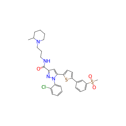 CC1CCCCN1CCCNC(=O)c1cc(-c2ccc(-c3cccc(S(C)(=O)=O)c3)s2)n(-c2ccccc2Cl)n1